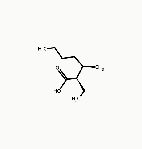 CCCC[C@@H](C)[C@@H](CC)C(=O)O